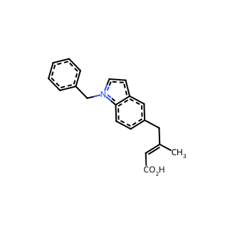 CC(=CC(=O)O)Cc1ccc2c(ccn2Cc2ccccc2)c1